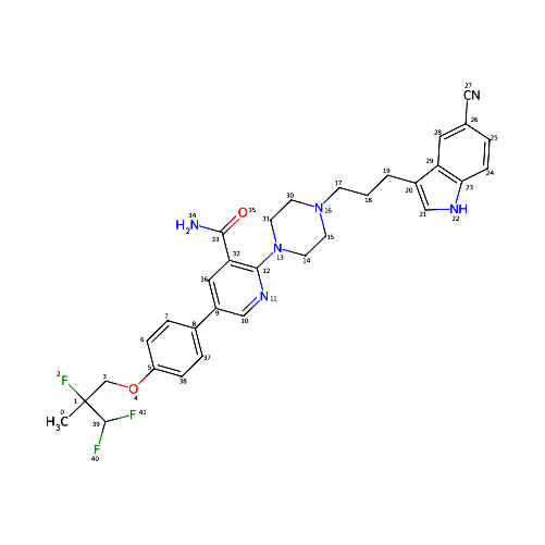 CC(F)(COc1ccc(-c2cnc(N3CCN(CCCc4c[nH]c5ccc(C#N)cc45)CC3)c(C(N)=O)c2)cc1)C(F)F